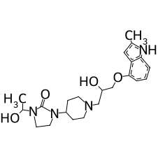 Cc1cc2c(OCC(O)CN3CCC(N4CCN(C(C)O)C4=O)CC3)cccc2[nH]1